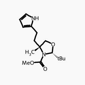 COC(=O)N1[C@@H](C(C)(C)C)OC[C@@]1(C)CCc1ccc[nH]1